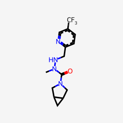 CN(NCc1ccc(C(F)(F)F)cn1)C(=O)N1CC2CC2C1